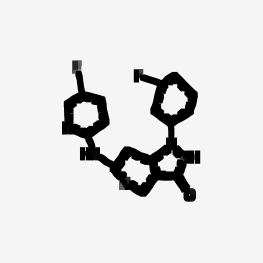 O=c1[nH]n(-c2cccc(F)c2)c2cc(Nc3ccc(F)cn3)ncc12